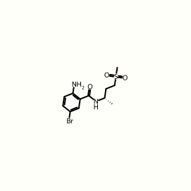 C[C@@H](CCS(C)(=O)=O)NC(=O)c1cc(Br)ccc1N